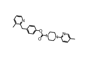 Cc1ccc(N2CCN(C(=O)Oc3ccc(Cc4ncccc4C)cc3)CC2)nc1